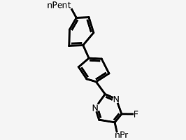 CCCCCc1ccc(-c2ccc(-c3ncc(CCC)c(F)n3)cc2)cc1